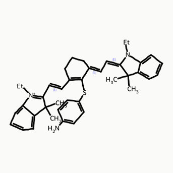 CCN1/C(=C/C=C2\CCCC(/C=C/C3=[N+](CC)c4ccccc4C3(C)C)=C2Sc2ccc(N)cc2)C(C)(C)c2ccccc21